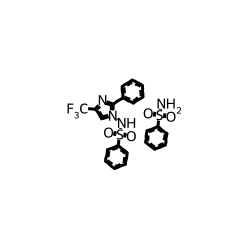 NS(=O)(=O)c1ccccc1.O=S(=O)(Nn1cc(C(F)(F)F)nc1-c1ccccc1)c1ccccc1